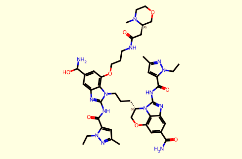 CCn1nc(C)cc1C(=O)Nc1nc2cc(C(N)O)cc(OCCCNC(=O)C[C@@H]3COCCN3C)c2n1CCC[C@H]1COc2cc(C(N)=O)cc3nc(NC(=O)c4cc(C)nn4CC)n1c23